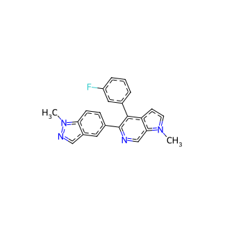 Cn1ccc2c(-c3cccc(F)c3)c(-c3ccc4c(cnn4C)c3)ncc21